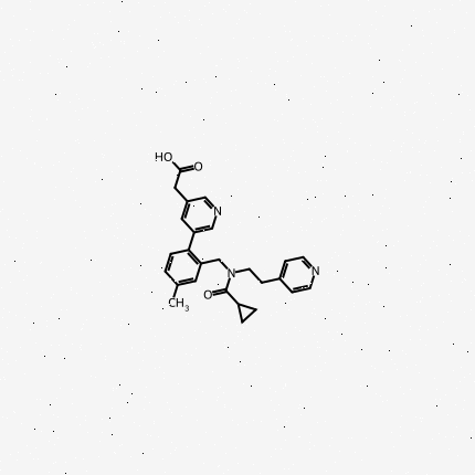 Cc1ccc(-c2cncc(CC(=O)O)c2)c(CN(CCc2ccncc2)C(=O)C2CC2)c1